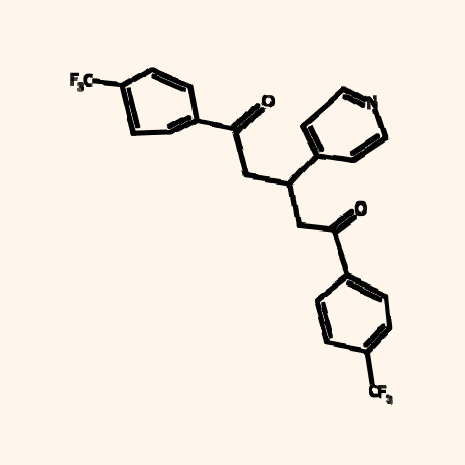 O=C(CC(CC(=O)c1ccc(C(F)(F)F)cc1)c1ccncc1)c1ccc(C(F)(F)F)cc1